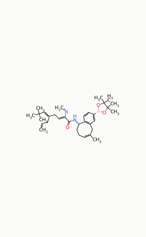 C=CC/C(=C\C(C)(C)C)C/C=C(\N=C)C(=O)N[C@@H]1CC/C=C(/C)Cc2cc(B3OC(C)(C)C(C)(C)O3)ccc21